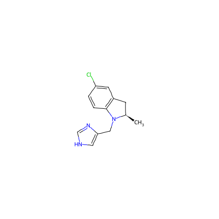 C[C@@H]1Cc2cc(Cl)ccc2N1Cc1c[nH]cn1